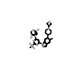 Cc1cc2cnn(-c3cc(N4C[C@H]5C[C@@H]4CO5)nc(S(C)(=O)=O)n3)c2cc1C1CCN(C2COC2)CC1